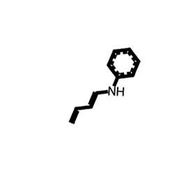 [CH]=CC=CNc1ccccc1